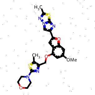 COc1cc(OCc2nc(N3CCOCC3)sc2C)c2cc(-c3cn4nc(C)sc4n3)oc2c1